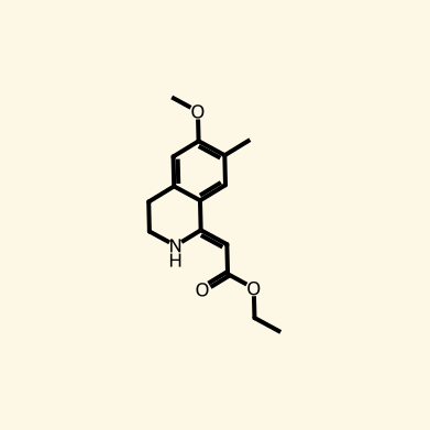 CCOC(=O)C=C1NCCc2cc(OC)c(C)cc21